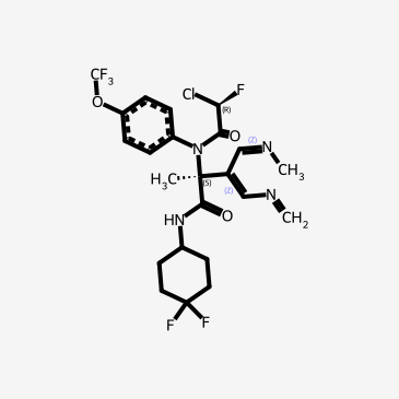 C=N/C=C(\C=N/C)[C@@](C)(C(=O)NC1CCC(F)(F)CC1)N(C(=O)[C@H](F)Cl)c1ccc(OC(F)(F)F)cc1